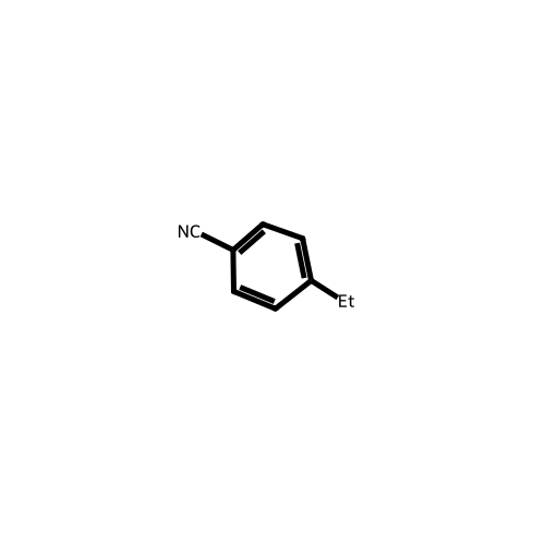 [CH]Cc1ccc(C#N)cc1